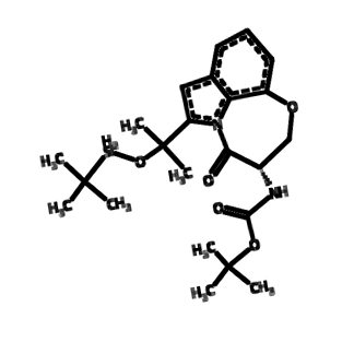 CC(C)(C)OC(=O)N[C@H]1COc2cccc3cc(C(C)(C)O[SiH2]C(C)(C)C)n(c23)C1=O